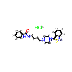 Cl.O=C(NCCCCN1CCN(c2snc3ccccc23)CC1)c1ccccc1